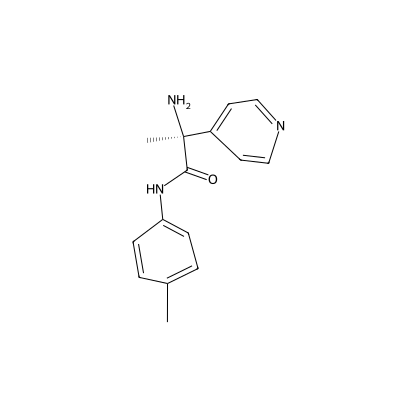 Cc1ccc(NC(=O)[C@@](C)(N)c2ccncc2)cc1